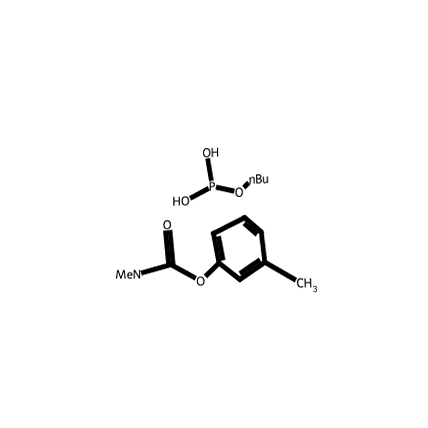 CCCCOP(O)O.CNC(=O)Oc1cccc(C)c1